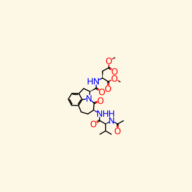 COC(=O)C[C@H](NC(=O)[C@@H]1Cc2cccc3c2N1C(=O)[C@@H](NC(=O)[C@@H](NC(C)=O)C(C)C)CC3)C(=O)OC